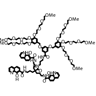 COCCOCCOCCOc1cc(COc2cc(OCc3cc(OCCOCCOCCOC)c(OCCOCCOCCOC)c(OCCOCCOCCOC)c3)cc(C(=O)NCCCNC(=O)C(CCCNC(=O)c3ccc4cccnc4c3O)(CCCNC(=O)c3ccc4cccnc4c3O)CCCNC(=O)c3ccc4cccnc4c3O)c2)cc(OCCOCCOCCOC)c1OCCOCCOCCOC